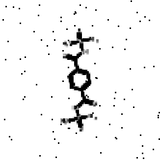 NP(N)(=O)NC(=O)c1ccc(C(=O)NP(N)(N)=O)cc1